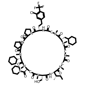 CC[C@H](C)[C@@H]1NC(=O)[C@H](CO)N(C)C(=O)C[C@@H](C(=O)N2CCCCC2)N(C)C(=O)[C@H](C2CCCCC2)N(C)C(=O)C2(CCCC2)NC(=O)[C@@H]2CCCN2C(=O)[C@H](CCc2ccc(C(F)(F)F)c(Cl)c2)NC(=O)CN(C)C(=O)[C@H](CC2CCCCC2)N(C)C(=O)CN(C)C(=O)CN(C)C1=O